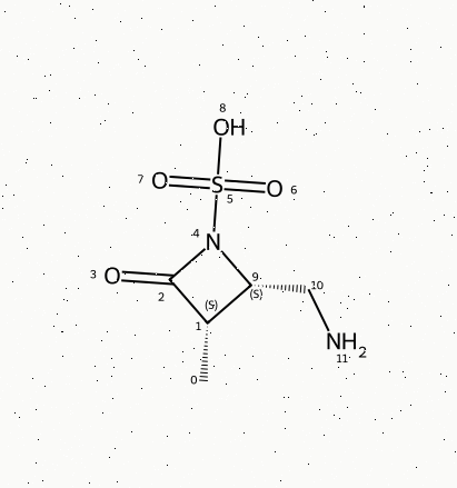 C[C@@H]1C(=O)N(S(=O)(=O)O)[C@@H]1CN